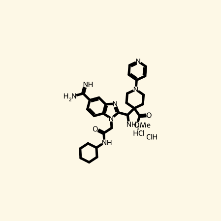 COC(=O)C1(C(N)c2nc3cc(C(=N)N)ccc3n2CC(=O)NC2CCCCC2)CCN(c2ccncc2)CC1.Cl.Cl